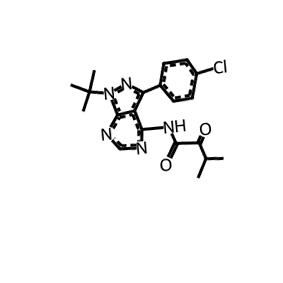 CC(C)C(=O)C(=O)Nc1ncnc2c1c(-c1ccc(Cl)cc1)nn2C(C)(C)C